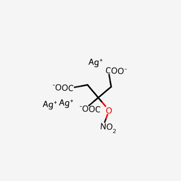 O=C([O-])CC(CC(=O)[O-])(O[N+](=O)[O-])C(=O)[O-].[Ag+].[Ag+].[Ag+]